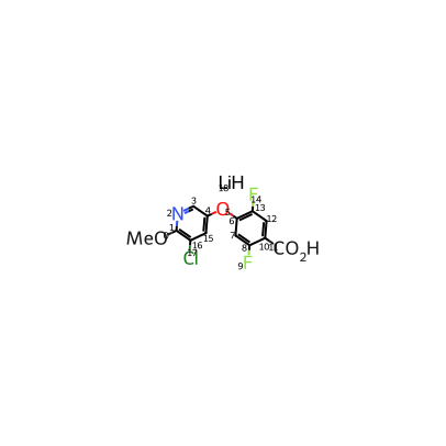 COc1ncc(Oc2cc(F)c(C(=O)O)cc2F)cc1Cl.[LiH]